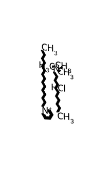 CCCCCCCCCCCCCCCC[n+]1ccccc1.CCCCCCCCCCCC[N+](C)(C)C.Cl